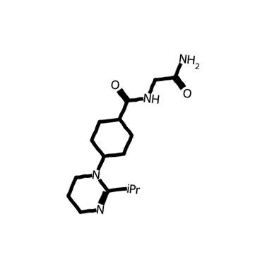 CC(C)C1=NCCCN1C1CCC(C(=O)NCC(N)=O)CC1